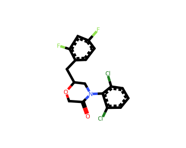 O=C1COC(Cc2ccc(F)cc2F)CN1c1c(Cl)cccc1Cl